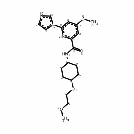 COCCO[C@H]1CC[C@H](NC(=O)c2cc(SC)cc(-n3ccnc3)n2)CC1